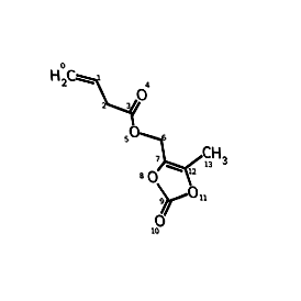 C=CCC(=O)OCc1oc(=O)oc1C